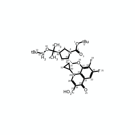 CC(C)(C)OC(=O)N1C[C@H](C(C)(C)O[SiH2]C(C)(C)C)C[C@H]1COc1c(F)c(F)cc2c(=O)c(C(=O)O)cn(C3CC3)c12